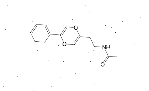 CC(=O)NCCC1=COC(C2=CC=CCC2)=CO1